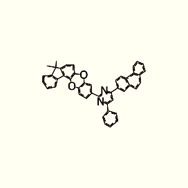 CC1(C)c2ccccc2-c2c1ccc1c2Oc2ccc(-c3nc(-c4ccccc4)cc(-c4ccc5c(ccc6ccccc65)c4)n3)cc2O1